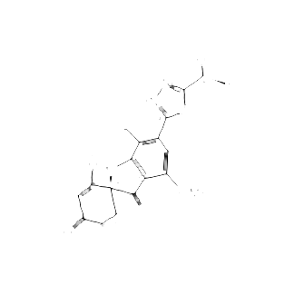 COc1cc(-c2nnc([C@H](C)O)o2)c(Cl)c2c1C(=O)[C@@]1(O2)C(O)=CC(=O)C[C@H]1C